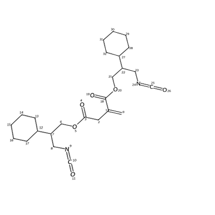 C=C(CC(=O)OCC(CN=C=O)C1CCCCC1)C(=O)OCC(CN=C=O)C1CCCCC1